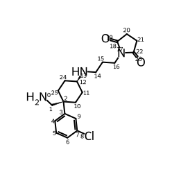 NC[C@]1(c2cccc(Cl)c2)CC[C@H](NCCCN2C(=O)CCC2=O)CC1